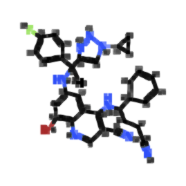 [2H]C(Nc1cc(Br)c2ncc(C#N)c(NC(CCC#N)c3ccccc3)c2c1)(c1ccc(F)cc1)c1cn(C2CC2)nn1